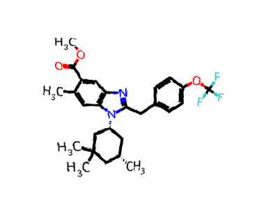 COC(=O)c1cc2nc(Cc3ccc(OC(F)(F)F)cc3)n([C@@H]3C[C@H](C)CC(C)(C)C3)c2cc1C